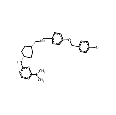 CN(C)c1ccnc(N[C@H]2CC[C@@H](CNCc3ccc(OCc4ccc(Br)cc4)cc3)CC2)n1